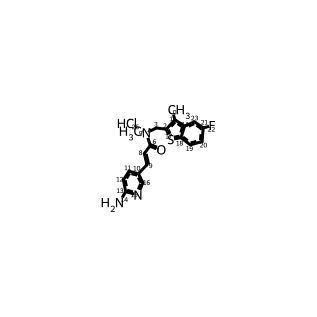 Cc1c(CN(C)C(=O)/C=C/c2ccc(N)nc2)sc2ccc(F)cc12.Cl